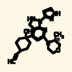 C#CC1CCC(O)(c2cc(N3CCOC[C@H]3C)nc3c2CNN3c2cc[nH]n2)CC1